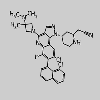 CN(C)C1(C)CN(c2nc3c(F)c(-c4cccc5cccc(Cl)c45)c(Cl)cc3c3c2cnn3[C@H]2CCN[C@H](CC#N)C2)C1